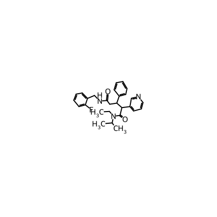 CCN(C(=O)C(c1cccnc1)C(CC(=O)NCc1ccccc1F)c1ccccc1)C(C)C